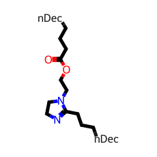 CCCCCCCCCCCCCC(=O)OCCN1CCN=C1CCCCCCCCCCCCC